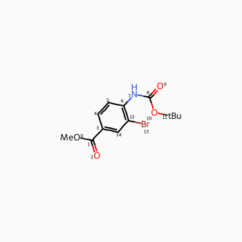 COC(=O)c1ccc(NC(=O)OC(C)(C)C)c(Br)c1